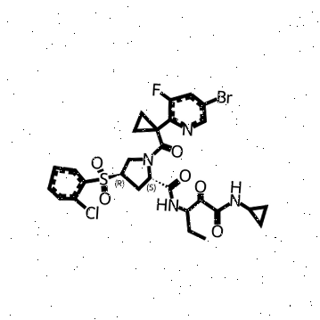 CCC(NC(=O)[C@@H]1C[C@@H](S(=O)(=O)c2ccccc2Cl)CN1C(=O)C1(c2ncc(Br)cc2F)CC1)C(=O)C(=O)NC1CC1